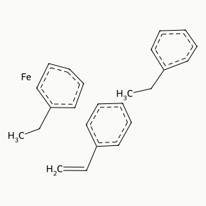 C=Cc1ccccc1.CCc1ccccc1.CCc1ccccc1.[Fe]